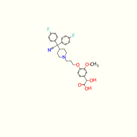 COc1cc(C(O)C(=O)O)ccc1OCCCN1CCC(C(C#N)(c2ccc(F)cc2)c2ccc(F)cc2)CC1